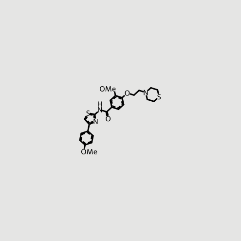 COc1ccc(-c2csc(NC(=O)c3ccc(OCCN4CCSCC4)c(OC)c3)n2)cc1